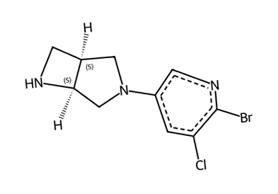 Clc1cc(N2C[C@@H]3CN[C@@H]3C2)cnc1Br